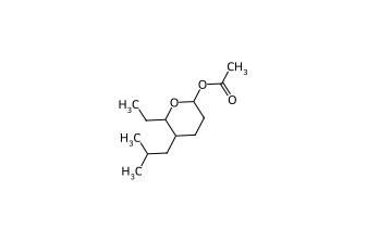 CCC1OC(OC(C)=O)CCC1CC(C)C